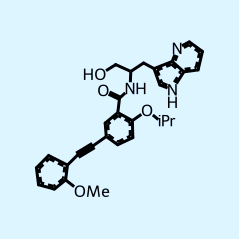 COc1ccccc1C#Cc1ccc(OC(C)C)c(C(=O)NC(CO)Cc2c[nH]c3cccnc23)c1